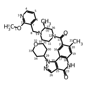 COc1ncccc1CN1CCN(C(=O)c2cc3c(cc2C)[nH]c(=O)c2cnn(C4CCOCC4)c23)C[C@@H]1C